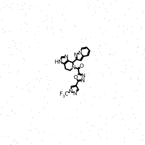 O=C(c1nnc(-c2cnn(C(F)(F)F)c2)o1)N1CCc2[nH]cnc2C1c1cc2ccccn2n1